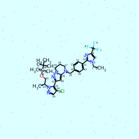 CCn1cc(C(F)(F)F)nc1-c1ccc(CN2CCCn3nc(-c4c(Cl)cnn4C(C)CO[Si](C)(C)C(C)(C)C)cc32)cc1